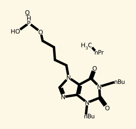 CCCC.CCCCn1c(=O)c2c(ncn2CCCCO[PH](=O)O)n(CCCC)c1=O